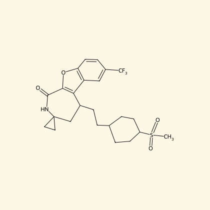 CS(=O)(=O)C1CCC(CCC2CC3(CC3)NC(=O)c3oc4ccc(C(F)(F)F)cc4c32)CC1